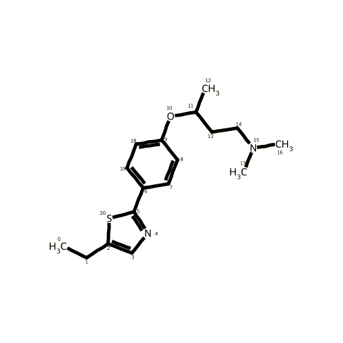 CCc1cnc(-c2ccc(OC(C)CCN(C)C)cc2)s1